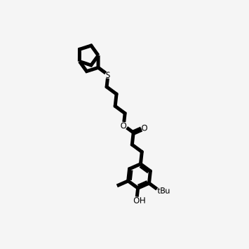 Cc1cc(CCC(=O)OCCCCSC2CC3CCC2C3)cc(C(C)(C)C)c1O